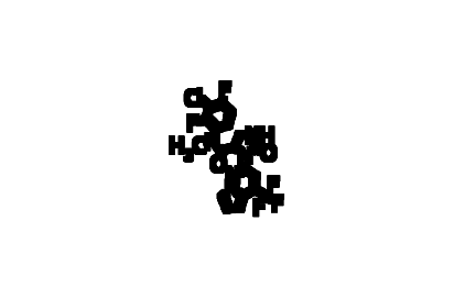 CN(C(=O)C1CNC(=O)N1c1cc(C(F)(F)F)c2cccn2n1)c1ccc(F)c(Cl)c1F